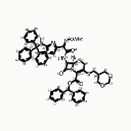 CO/N=C(\C(=O)NC1C(=O)N2C(C(=O)OC(c3ccccc3)c3ccccc3)=C(SCC3COCOC3)CS[C@H]12)c1csc(NC(c2ccccc2)(c2ccccc2)c2ccccc2)n1